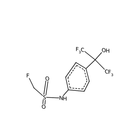 O=S(=O)(CF)Nc1ccc(C(O)(C(F)(F)F)C(F)(F)F)cc1